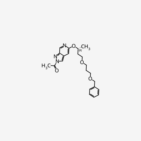 CC(=O)n1cc2cc(O[C@H](C)CCOCCCOCc3ccccc3)ncc2n1